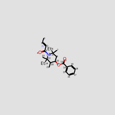 C/C=C/C(=O)N1C(C)(CC)CC(OC(=O)c2ccccc2)C(C)C1(C)CC